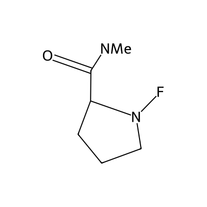 CNC(=O)C1CCCN1F